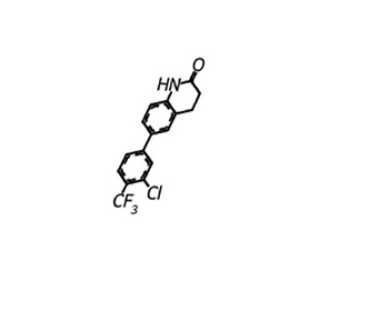 O=C1CCc2cc(-c3ccc(C(F)(F)F)c(Cl)c3)ccc2N1